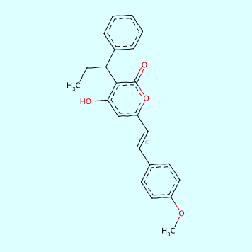 CCC(c1ccccc1)c1c(O)cc(/C=C/c2ccc(OC)cc2)oc1=O